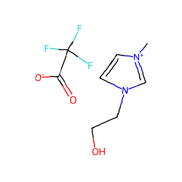 C[n+]1ccn(CCO)c1.O=C([O-])C(F)(F)F